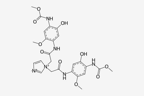 COC(=O)Nc1cc(OC)c(NC(=O)C[N+]2(CC(=O)Nc3cc(O)c(NC(=O)OC)cc3OC)C=C[N+]=C2)cc1O